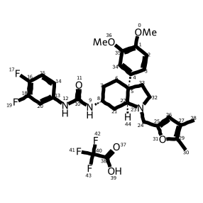 COc1ccc([C@@]23CC[C@@H](NC(=O)Nc4ccc(F)c(F)c4)C[C@@H]2N(Cc2cc(C)c(C)o2)CC3)cc1OC.O=C(O)C(F)(F)F